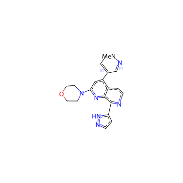 C/C=C(\C=N/NC)c1cc(N2CCOCC2)nc2c(-c3ccn[nH]3)nccc12